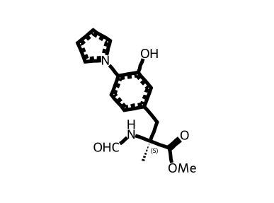 COC(=O)[C@](C)(Cc1ccc(-n2cccc2)c(O)c1)NC=O